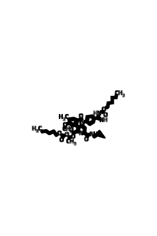 CCCCCCOC(=O)NC(=N)c1ccc(NC(=O)c2cc(C)c(OC)cc2-c2ccc(C(=O)NCC3CC3)nc2C(=O)OC(C)OC(=O)OCCCCCC)cc1